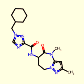 Cc1cc2n(n1)CCC(NC(=O)c1ncn(CC3CCCCC3)n1)C(=O)N2C